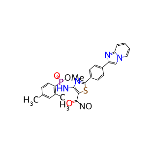 COP(=O)(Nc1nc(-c2ccc(-c3cn4ccccc4n3)cc2)sc1C(=O)N=O)c1ccc(C)cc1C